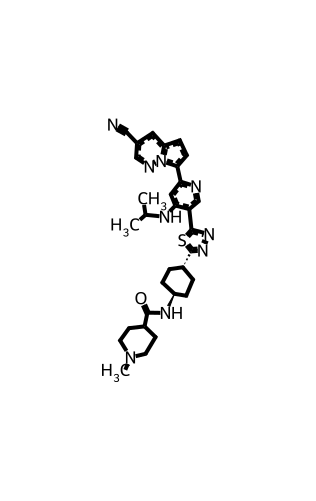 CC(C)Nc1cc(-c2ccc3cc(C#N)cnn23)ncc1-c1nnc([C@H]2CC[C@H](NC(=O)C3CCN(C)CC3)CC2)s1